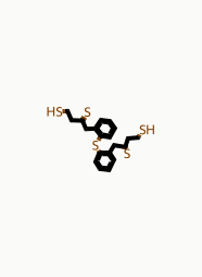 S=C(CCS)Cc1ccccc1Sc1ccccc1CC(=S)CCS